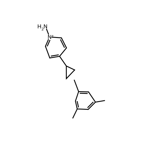 Cc1cc(C)cc(C)c1.N[n+]1ccc(C2CC2)cc1